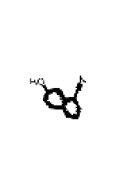 N#Cc1[c]ccc2ccc(O)cc12